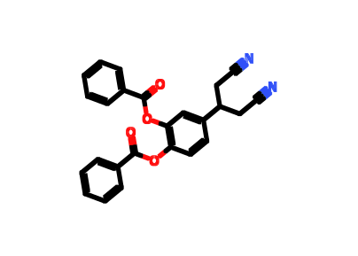 N#CCC(CC#N)c1ccc(OC(=O)c2ccccc2)c(OC(=O)c2ccccc2)c1